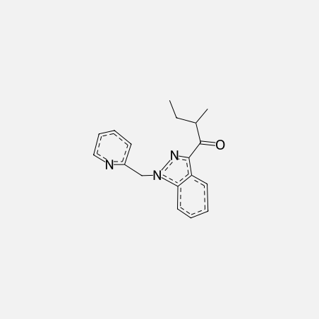 CCC(C)C(=O)c1nn(Cc2ccccn2)c2ccccc12